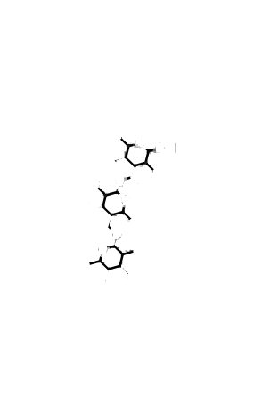 CC1O[C@@H](OC[C@@H]2C(C)O[C@@H](OC[C@H]3C(C)C(O)OC(C)[C@@H]3C)C(C)[C@H]2C)C(C)[C@@H](C)[C@@H]1C